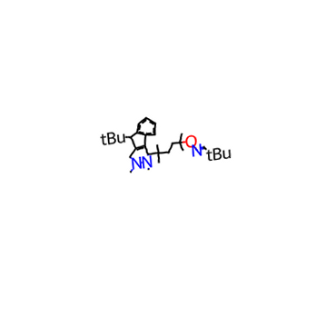 CN1CC2=C(c3ccccc3C2C(C)(C)C)C(C(C)(C)CCC(C)(C)O/N=C/C(C)(C)C)N1C